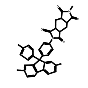 Cc1ccc(C2(c3ccc(N4C(=O)C5CC6C(=O)N(C)C(=O)C6CC5C4=O)cc3)c3cc(C)ccc3-c3ccc(C)cc32)cc1